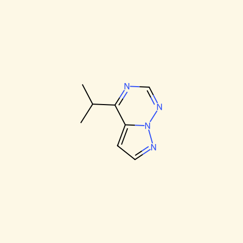 CC(C)c1ncnn2nccc12